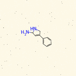 NC1C=C(c2ccccc2)CN1